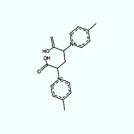 C=C(O)C(CC(C(=O)O)[n+]1ccc(C)cc1)[n+]1ccc(C)cc1